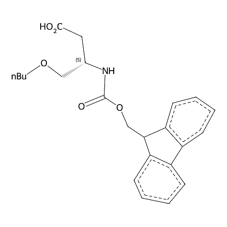 CCCCOC[C@H](CC(=O)O)NC(=O)OCC1c2ccccc2-c2ccccc21